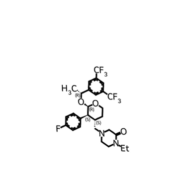 CCN1CCN(C[C@H]2CCO[C@H](O[C@H](C)c3cc(C(F)(F)F)cc(C(F)(F)F)c3)[C@@H]2c2ccc(F)cc2)CC1=O